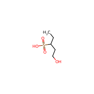 [CH2]CC(CCO)S(=O)(=O)O